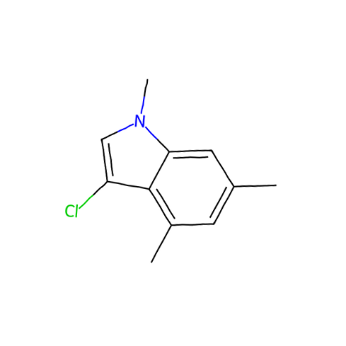 Cc1cc(C)c2c(Cl)cn(C)c2c1